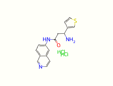 Cl.Cl.NC(CC(=O)Nc1ccc2cnccc2c1)c1ccsc1